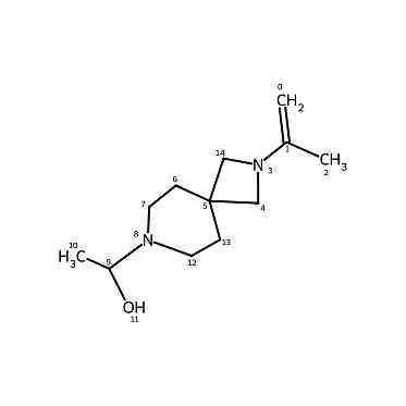 C=C(C)N1CC2(CCN(C(C)O)CC2)C1